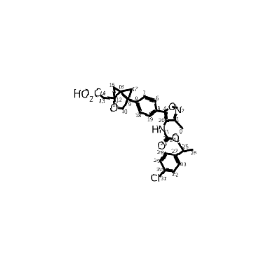 Cc1noc(-c2ccc(C34COC5(CC(=O)O)CC53C4)cc2)c1NC(=O)OC(C)c1ccc(Cl)cc1